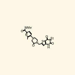 CCn1c(=O)[nH]c2cc(CN3CCN(c4ccc(C(=O)NC)nc4C)CC3=O)sc2c1=O